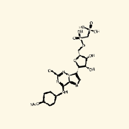 COC1CCC(Nc2nc(Cl)nn3c([C@@H]4O[C@H](COP(=O)(O)CP(=O)(O)O)[C@@H](O)[C@H]4O)cnc23)CC1